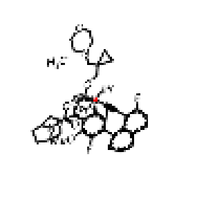 COc1c(F)c(-c2cccc3ccc(F)c(C#C[Si](C(C)C)(C(C)C)C(C)C)c23)c(F)c2nc(OCC3(CN4CCOC[C@H]4C)CC3)nc(N3CC4CCC(C3)N4C(=O)OC(C)(C)C)c12